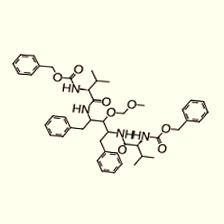 COCOC(C(Cc1ccccc1)NC(=O)[C@@H](NC(=O)OCc1ccccc1)C(C)C)C(Cc1ccccc1)NC(=O)[C@@H](NC(=O)OCc1ccccc1)C(C)C